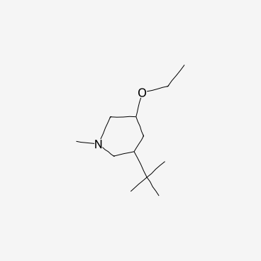 CCOC1CC(C(C)(C)C)CN(C)C1